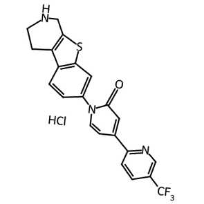 Cl.O=c1cc(-c2ccc(C(F)(F)F)cn2)ccn1-c1ccc2c3c(sc2c1)CNCC3